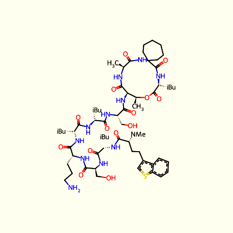 CC[C@H](C)[C@H](NC(=O)[C@@H](CCc1csc2ccccc12)NC)C(=O)N[C@@H](CO)C(=O)N[C@H](CCCN)C(=O)N[C@@H](C(=O)N[C@H](C(=O)N[C@@H](CO)C(=O)N[C@H]1C(=O)N[C@@H](C)C(=O)NC2(CCCCCC2)C(=O)N[C@@H]([C@@H](C)CC)C(=O)O[C@H]1C)[C@@H](C)CC)[C@@H](C)CC